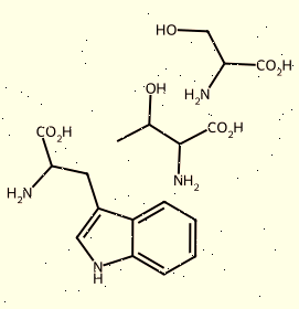 CC(O)C(N)C(=O)O.NC(CO)C(=O)O.NC(Cc1c[nH]c2ccccc12)C(=O)O